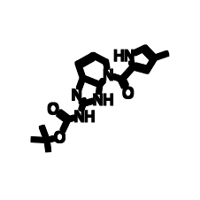 Cc1c[nH]c(C(=O)N2CC=CC3N=C(NC(=O)OC(C)(C)C)NC32)c1